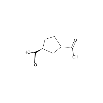 O=C(O)[C@H]1CC[C@H](C(=O)O)C1